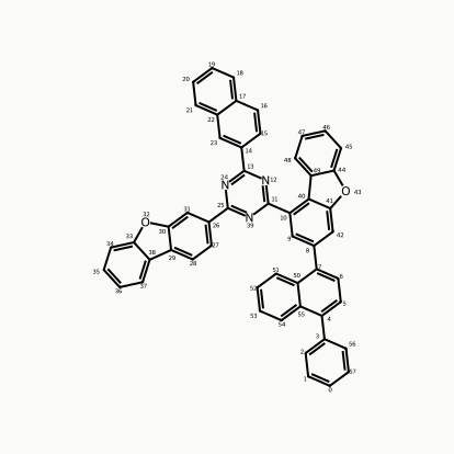 c1ccc(-c2ccc(-c3cc(-c4nc(-c5ccc6ccccc6c5)nc(-c5ccc6c(c5)oc5ccccc56)n4)c4c(c3)oc3ccccc34)c3ccccc23)cc1